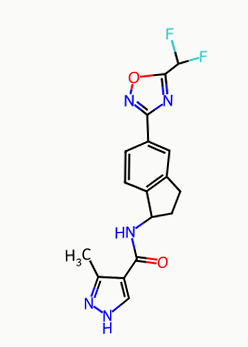 Cc1n[nH]cc1C(=O)NC1CCc2cc(-c3noc(C(F)F)n3)ccc21